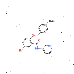 COc1ccc(COc2ccc(Br)cc2C(=O)Nc2cccnc2)cc1